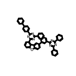 c1ccc(-c2ccc(-c3nc(-c4ccccc4)nc(-c4cccc5oc6ccc(-c7cccc(-c8nc(-c9ccccc9)nc(-c9ccccc9)n8)c7)cc6c45)n3)cc2)cc1